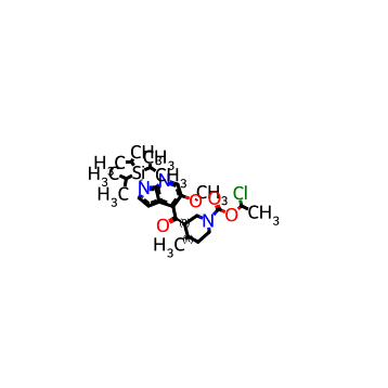 COc1cnc2c(ccn2[Si](C(C)C)(C(C)C)C(C)C)c1C(=O)[C@H]1CN(C(=O)OC(C)Cl)CC[C@H]1C